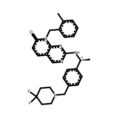 Cc1ccccc1Cn1c(=O)ccc2cnc(N[C@@H](C)c3ccc(CN4CCC(F)(F)CC4)cc3)nc21